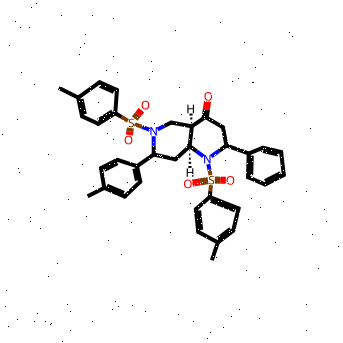 Cc1ccc(C2C[C@H]3[C@@H](CN2S(=O)(=O)c2ccc(C)cc2)C(=O)CC(c2ccccc2)N3S(=O)(=O)c2ccc(C)cc2)cc1